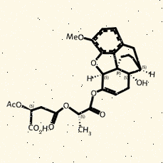 COc1ccc2c3c1O[C@@H]1C(OC(=O)[C@H](C)OC(=O)C[C@H](OC(C)=O)C(=O)O)=CC[C@]4(O)[C@@H](CCC[C@@]314)C2